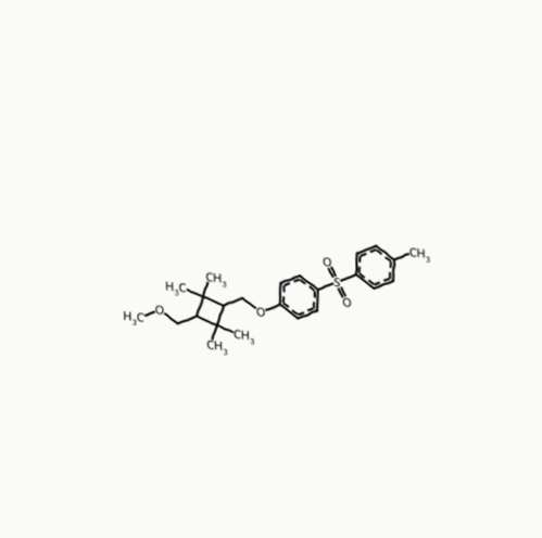 COCC1C(C)(C)C(COc2ccc(S(=O)(=O)c3ccc(C)cc3)cc2)C1(C)C